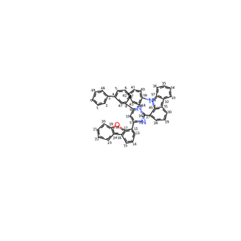 c1ccc(-c2cccc(-c3cc(-c4cccc5c4oc4ccccc45)nc(-c4cccc5c6ccccc6n(-c6ccccc6)c45)n3)c2)cc1